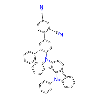 N#Cc1ccc(-c2ccc(-n3c4ccccc4c4c3ccc3c5ccccc5n(-c5ccccc5)c34)c(-c3ccccc3)c2)c(C#N)c1